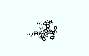 CC(C)(C)c1ccc(Nc2cc3sc4ccccc4c3cc2-c2ccc3c4cc5c(cc4n4c3c2Bc2cc3c(-c6ccccc6)oc(-c6ccccc6)c3cc2-4)-c2ccccc2C5(C)C)cc1